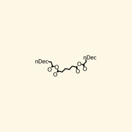 CCCCCCCCCCCC(=O)OC(=O)CCCCC(=O)OC(=O)CCCCCCCCCCC